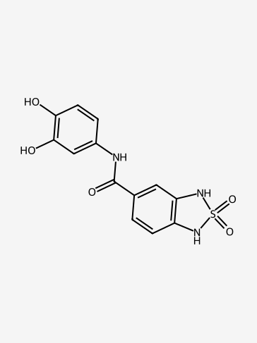 O=C(Nc1ccc(O)c(O)c1)c1ccc2c(c1)NS(=O)(=O)N2